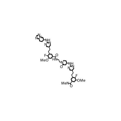 CNC(=O)c1cc(CCc2cnc(Nc3ccn(CCNC(=O)c4cc(CCc5cnc(Nc6ccc7ncnn7c6)nc5)c(F)c(OC)c4)c(=O)c3)nc2)c(F)c(OC)c1